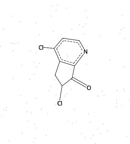 O=C1c2nccc(Cl)c2CC1Cl